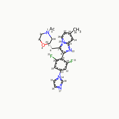 CC(=O)N1CCO[C@@H](Cc2c(-c3c(F)cc(-n4ccnc4)cc3F)nc3cc(C)ccn23)C1